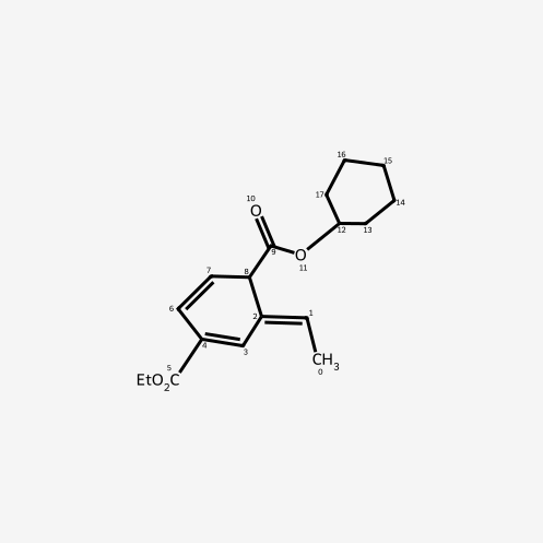 CC=C1C=C(C(=O)OCC)C=CC1C(=O)OC1CCCCC1